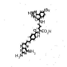 CC(C)(C)c1ccc(C(=O)NCCC[C@H](NC(=O)c2ccc(CCc3cnc4nc(N)nc(N)c4n3)cc2)C(=O)O)c(-c2nn[nH]n2)c1